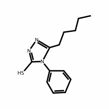 CCCCCc1nnc(S)n1-c1ccccc1